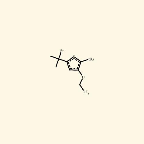 CCC(C)(C)c1cc(OCC(F)(F)F)c(C(C)(C)C)s1